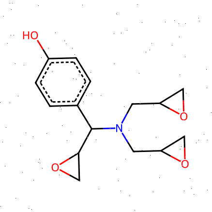 Oc1ccc(C(C2CO2)N(CC2CO2)CC2CO2)cc1